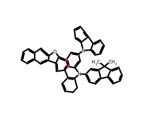 CC1(C)c2ccccc2-c2ccc(N(C3=C(c4ccc5oc6cc7ccccc7cc6c5c4)C=CCC3)c3cccc(-n4c5ccccc5c5ccccc54)c3)cc21